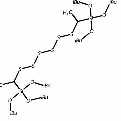 CCC(C)O[Si](OC(C)CC)(OC(C)CC)C(C)SSSSSSC(C)[Si](OC(C)CC)(OC(C)CC)OC(C)CC